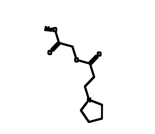 COC(=O)COC(=O)CCN1CCCC1